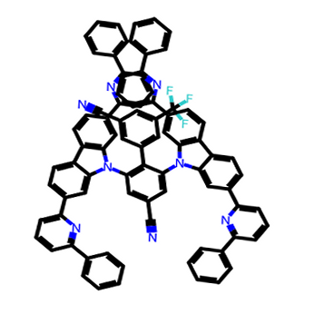 N#Cc1cc(-c2c(-n3c4cc(-c5cccc(-c6ccccc6)n5)ccc4c4ccc(-c5cccc(-c6ccccc6)n5)cc43)cc(C#N)cc2-n2c3cc(-c4cccc(-c5ccccc5)n4)ccc3c3ccc(-c4cccc(-c5ccccc5)n4)cc32)cc(C(F)(F)F)c1